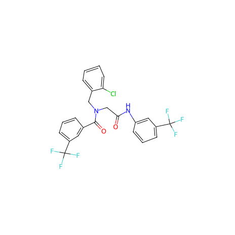 O=C(CN(Cc1ccccc1Cl)C(=O)c1cccc(C(F)(F)F)c1)Nc1cccc(C(F)(F)F)c1